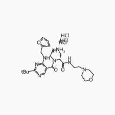 CC(C)CN(C(=O)c1cnc(C(C)(C)C)nc1NCc1ccco1)[C@@H](CN)C(=O)NCCN1CCOCC1.Cl.Cl.Cl